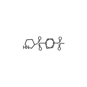 CS(=O)(=O)c1ccc(S(=O)(=O)C2CCCNC2)cc1